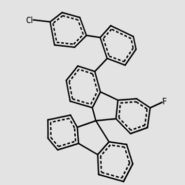 Fc1ccc2c(c1)-c1c(-c3ccccc3-c3ccc(Cl)cc3)cccc1C21c2ccccc2-c2ccccc21